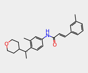 C[C](c1ccc(NC(=O)C=Cc2cccc(C)c2)cc1C)C1CCOCC1